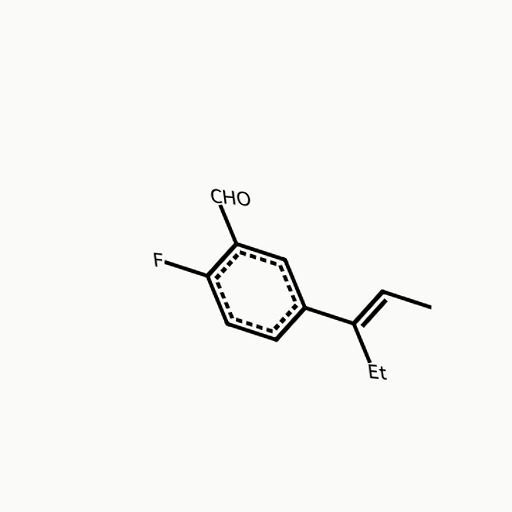 CC=C(CC)c1ccc(F)c(C=O)c1